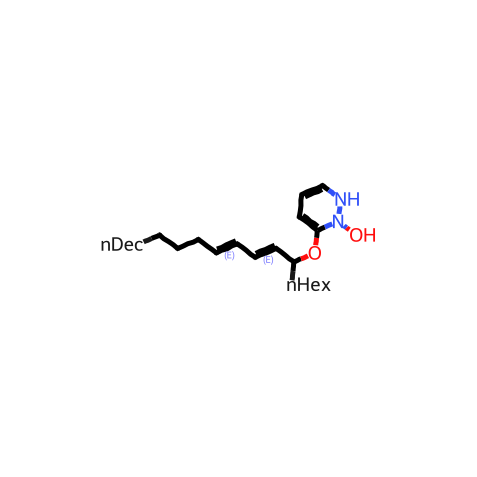 CCCCCCCCCCCCC/C=C/C=C/C(CCCCCC)OC1=CC=CNN1O